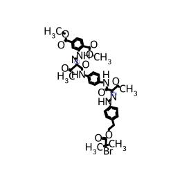 COC(=O)c1ccc(C(=O)OC)c(N/N=C(/C(C)=O)C(=O)Nc2ccc(NC(=O)/C(=N\Nc3ccc(CCOC(=O)C(C)(C)Br)cc3)C(C)=O)cc2)c1